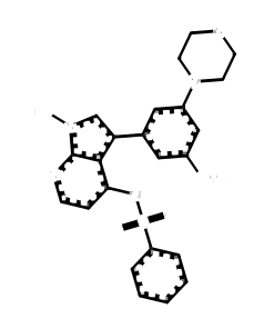 COc1cc(-c2cn(C)c3nccc(NS(=O)(=O)c4ccccc4)c23)cc(N2CCNCC2)c1